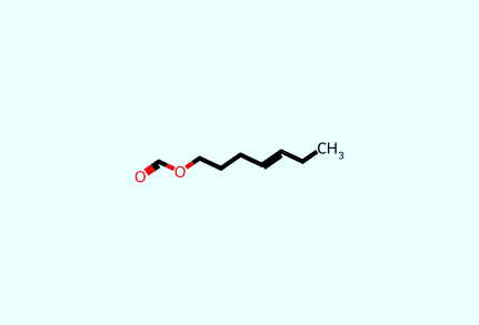 CCC=CCCCOC=O